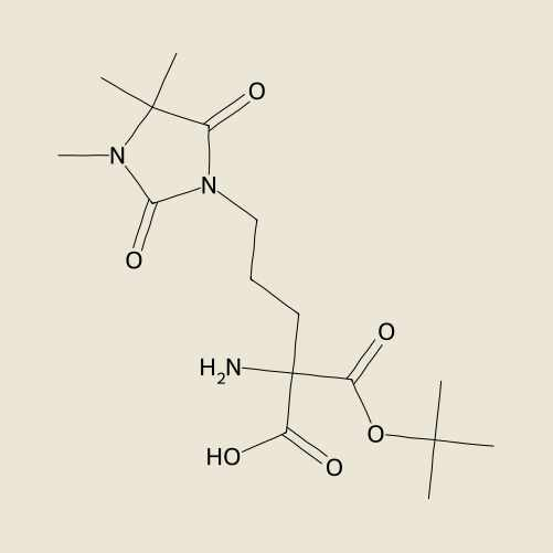 CN1C(=O)N(CCCC(N)(C(=O)O)C(=O)OC(C)(C)C)C(=O)C1(C)C